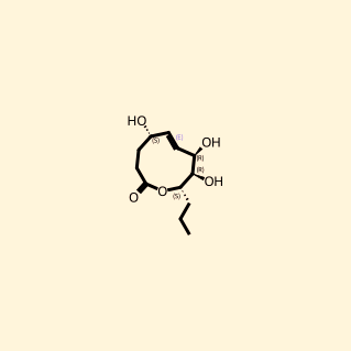 CCC[C@@H]1OC(=O)CC[C@H](O)/C=C/[C@@H](O)[C@H]1O